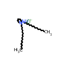 CCCCCCCCCCCCCCCCCC[n+]1ccccc1NCCCCCCCCCCCCCCCC.[Cl-]